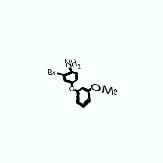 COc1cccc(Oc2ccc(N)c(Br)c2)c1